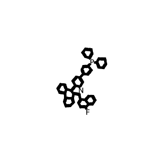 Fc1ccc(-c2nc3cc(-c4ccc(P(c5ccccc5)c5ccccc5)cc4)ccc3c3c4ccccc4c4ccccc4c23)c2ccccc12